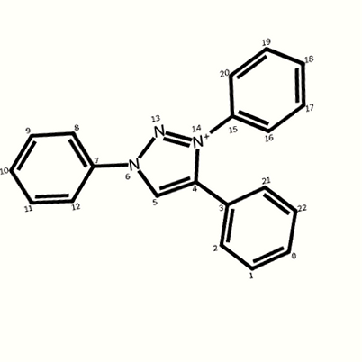 c1ccc(-c2cn(-c3ccccc3)n[n+]2-c2ccccc2)cc1